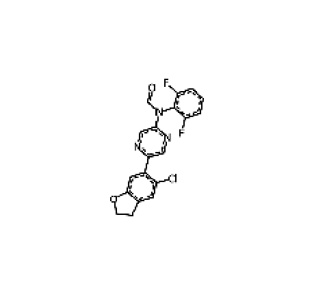 O=CN(c1cnc(-c2cc3c(cc2Cl)CCO3)cn1)c1c(F)cccc1F